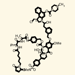 CNS(=O)(=O)c1ccc(C2=CCN3C(=O)c4cc(OC)c(OCc5cccc(CC(O)N6C[C@@H](CCl)c7c6cc(OC(=O)N6CCN(C)CC6)c6ccccc76)c5)cc4N(C(=O)OCc4ccc(NC(=O)[C@H](C)NC(=O)[C@@H](NC(=O)CCCCCN5C(=O)C=CC5=O)C(C)C)cc4)[C@@H](O)[C@@H]3C2)cc1